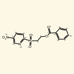 O=C(OCCS(=O)(=O)c1ccc([N+](=O)[O-])cn1)c1ccccc1